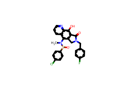 CN(c1c2c(c(O)c3ncccc13)C(=O)N(Cc1ccc(F)cc1)C2)[S+]([O-])c1ccc(Cl)cc1